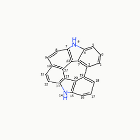 c1cc2c3c(c1)[nH]c1ccc4ccc5[nH]c6cccc-2c6c5c4c13